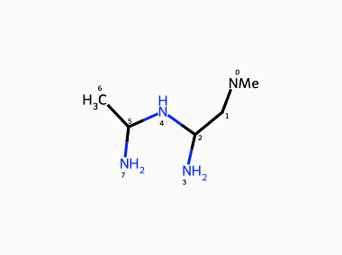 CNCC(N)NC(C)N